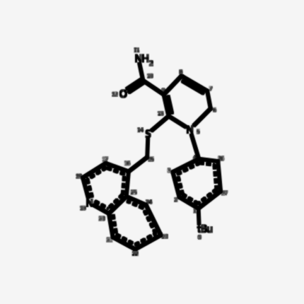 CC(C)(C)c1ccc(N2CC=CC(C(N)=O)=C2SCc2ccnc3ccccc23)cc1